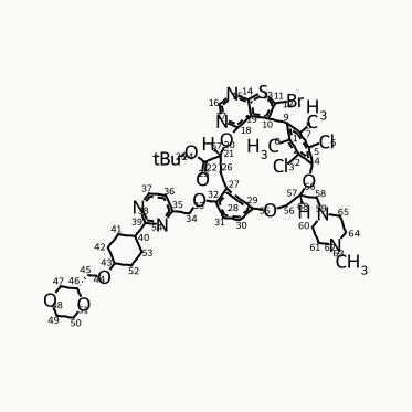 Cc1c(Cl)c2c(Cl)c(C)c1-c1c(Br)sc3ncnc(c13)O[C@@H](C(=O)OC(C)(C)C)Cc1cc(ccc1OCc1ccnc(C3CCC(OC[C@H]4COCCO4)CC3)n1)OC[C@@H](CN1CCN(C)CC1)O2